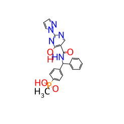 CP(=O)(O)c1ccc(C(NC(=O)c2cnc(-n3cccn3)nc2O)c2ccccc2)cc1